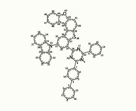 c1ccc(-c2ccc(-c3nc(-c4ccccc4)nc(-c4cc(-n5c6ccccc6c6ccccc65)cc5c4sc4ccc6oc7ccccc7c6c45)n3)cc2)cc1